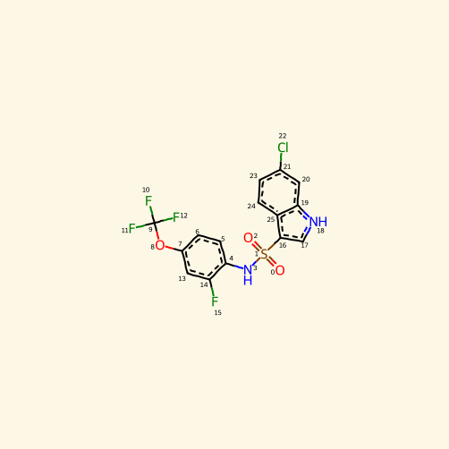 O=S(=O)(Nc1ccc(OC(F)(F)F)cc1F)c1c[nH]c2cc(Cl)ccc12